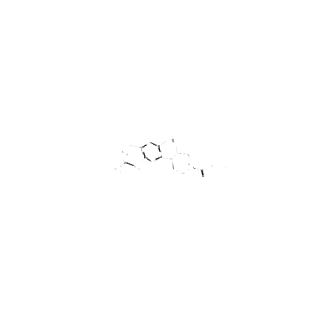 CC(C)(C)OC(=O)N1CCC(c2cc3c(cc2Cl)CNC(N)=N3)C(F)C1